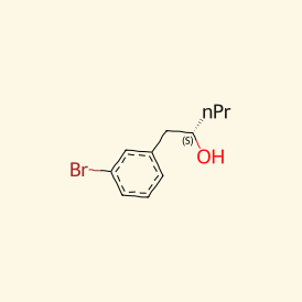 CCC[C@H](O)Cc1cccc(Br)c1